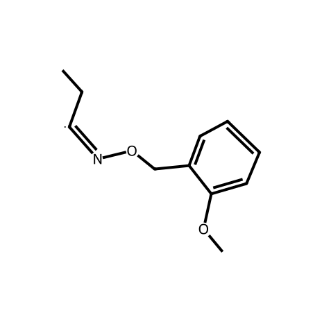 CC/[C]=N\OCc1ccccc1OC